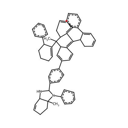 CC1(C2=CCCCC2c2ccccc2)C2C=C(c3ccc(C4NC5C=CCCC5(C)N4c4ccccc4)cc3)C=CC2=C(C2CC=CC=C2c2ccccc2)C2=CC=CCC21